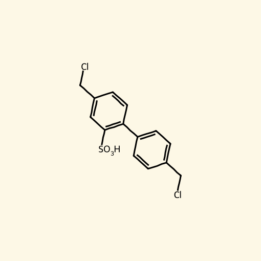 O=S(=O)(O)c1cc(CCl)ccc1-c1ccc(CCl)cc1